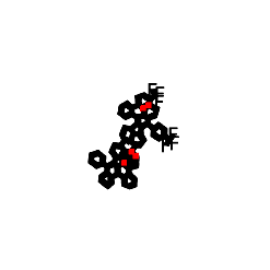 FC(F)(F)c1ccc(-c2ccccc2-c2c3c(c(-c4ccc(C(F)(F)F)cc4)c4ccccc24)C2=CC=c4c5c(c6ccc7c8c(ccc4c68)-c4c-7c(-c6ccccc6)c6ccccc6c4-c4ccccc4-c4ccccc4)C=CC3C25)cc1